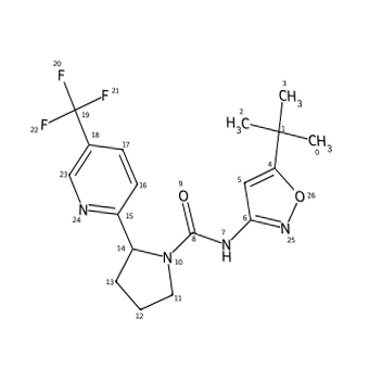 CC(C)(C)c1cc(NC(=O)N2CCCC2c2ccc(C(F)(F)F)cn2)no1